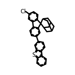 Clc1ccc2c(c1)-c1ccc(-c3ccc4c(c3)sc3ccccc34)cc1C21C2CC3CC(C2)CC1C3